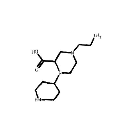 CCCN1CCN(C2CCNCC2)C(C(=O)O)C1